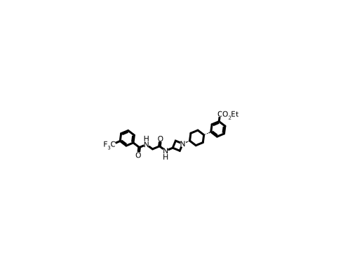 CCOC(=O)c1cccc([C@H]2CC[C@@H](N3CC(NC(=O)CNC(=O)c4cccc(C(F)(F)F)c4)C3)CC2)c1